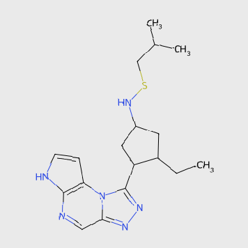 CCC1CC(NSCC(C)C)CC1c1nnc2cnc3[nH]ccc3n12